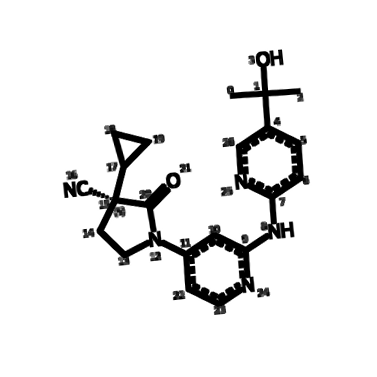 CC(C)(O)c1ccc(Nc2cc(N3CC[C@@](C#N)(C4CC4)C3=O)ccn2)nc1